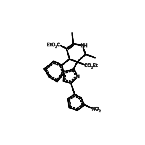 CCOC(=O)C1=C(C)NC(C)C(C(=O)OCC)(c2nc(-c3cccc([N+](=O)[O-])c3)cs2)C1c1ccccc1